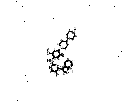 COc1cc(N2CCC(N3CCN(C)CC3)CC2)c(Cl)cc1Nc1ncc(Cl)c(-c2c[nH]c3ccccc23)n1